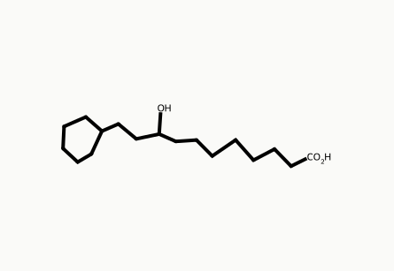 O=C(O)CCCCCCCC(O)CCC1CCCCC1